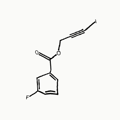 O=C(OCC#CI)c1cccc(F)c1